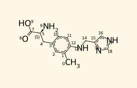 Cc1cc(C[C@H](N)C(=O)O)ccc1NCc1c[nH]cn1